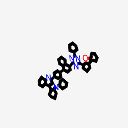 c1ccc(-c2nc(-c3ccc(-c4ccc(-c5nc6ccccc6c6c7ccccc7n(-c7ccccc7)c56)cc4)c4ccccc34)nc(-c3cccc4c3oc3ccccc34)n2)cc1